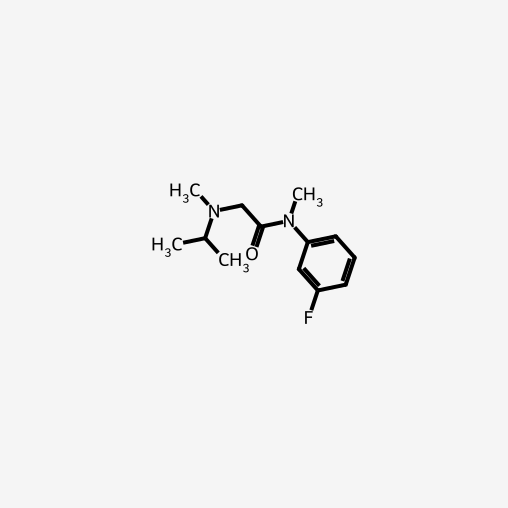 CC(C)N(C)CC(=O)N(C)c1cccc(F)c1